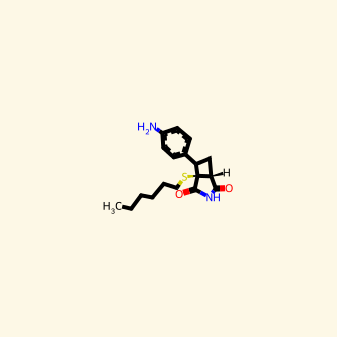 CCCCCCS[C@]12C(=O)NC(=O)[C@H]1CC2c1ccc(N)cc1